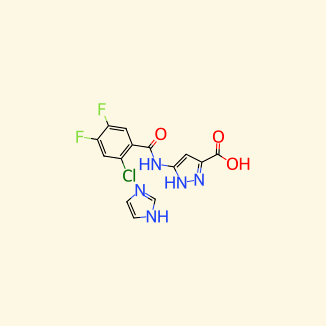 O=C(O)c1cc(NC(=O)c2cc(F)c(F)cc2Cl)[nH]n1.c1c[nH]cn1